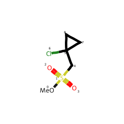 COS(=O)(=O)CC1(Cl)CC1